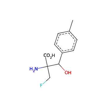 Cc1ccc(C(O)C(N)(CF)C(=O)O)cc1